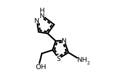 Nc1nc(-c2cn[nH]c2)c(CO)s1